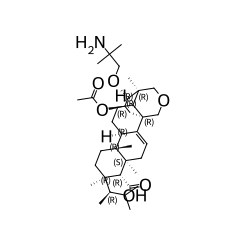 CC(=O)O[C@@H]1C[C@@]23COC[C@@](C)([C@@H]2CC[C@H]2C3=CC[C@@]3(C)[C@H](C(=O)O)[C@@](C)([C@H](C)C(C)C)CC[C@]23C)[C@H]1OCC(C)(C)N